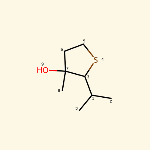 CC(C)C1SCCC1(C)O